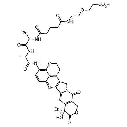 CC[C@@]1(O)C(=O)OCc2c1cc1n(c2=O)Cc2c-1nc1ccc(NC(=O)C(C)NC(=O)C(NC(=O)CCCC(=O)NCCOCCC(=O)O)C(C)C)c3c1c2CCO3